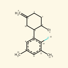 C=C1CCC(CC)C(c2cc(C)cc(C)c2F)C1